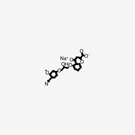 COc1cc(OCC(O)COc2cccc3oc(C(=O)[O-])cc(=O)c23)ccc1C#N.[Na+]